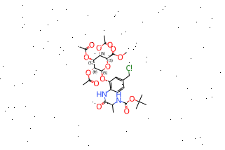 COC(=O)[C@H]1O[C@@H](Oc2cc(CCl)ccc2NC(=O)C(C)NC(=O)OC(C)(C)C)[C@H](OC(C)=O)[C@@H](OC(C)=O)[C@@H]1OC(C)=O